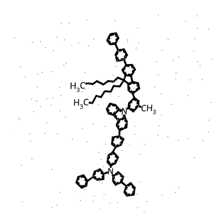 CCCCCCCCC1(CCCCCCCC)c2cc(-c3ccc(-c4ccccc4)cc3)ccc2-c2ccc(-c3cc(C)cc(-n4c5ccccc5c5cc(-c6ccc(-c7ccc(N(c8ccc(-c9ccccc9)cc8)c8ccc(-c9ccccc9)cc8)cc7)cc6)ccc54)c3)cc21